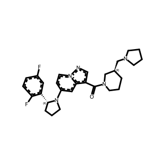 O=C(c1cnn2ccc(N3CCC[C@@H]3c3cc(F)ccc3F)cc12)N1CCC[C@H](CN2CCCC2)C1